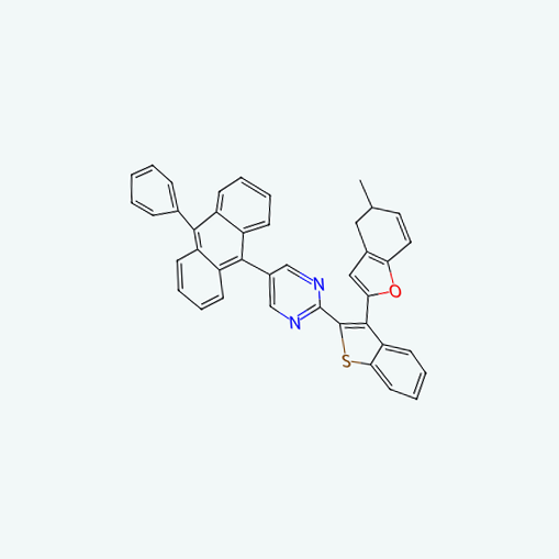 CC1C=Cc2oc(-c3c(-c4ncc(-c5c6ccccc6c(-c6ccccc6)c6ccccc56)cn4)sc4ccccc34)cc2C1